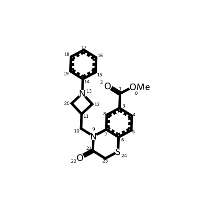 COC(=O)c1ccc2c(c1)N(CC1CN(c3ccccc3)C1)C(=O)CS2